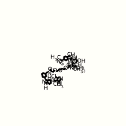 Cc1ncsc1-c1ccc([C@H](C)NC(=O)[C@@H]2C[C@@H](O)CN2C(=O)[C@@H](NC(=O)COCCOCCOCC(=O)NCc2cccc(-c3n[nH]c4ccc(O[C@H](C)c5c(Cl)cncc5Cl)cc34)c2)C(C)(C)C)cc1